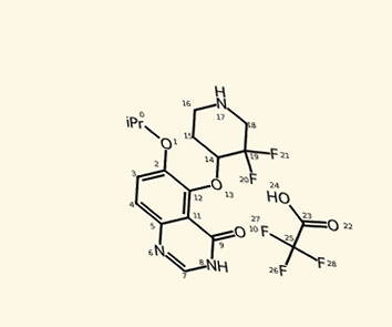 CC(C)Oc1ccc2nc[nH]c(=O)c2c1OC1CCNCC1(F)F.O=C(O)C(F)(F)F